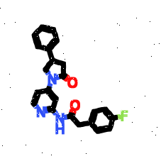 O=C(Cc1ccc(F)cc1)Nc1cc(N2CC(c3ccccc3)CC2=O)ccn1